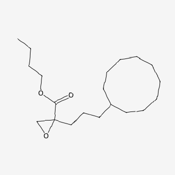 CCCCOC(=O)C1(CCCC2CCCCCCCCC2)CO1